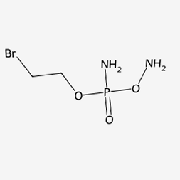 NOP(N)(=O)OCCBr